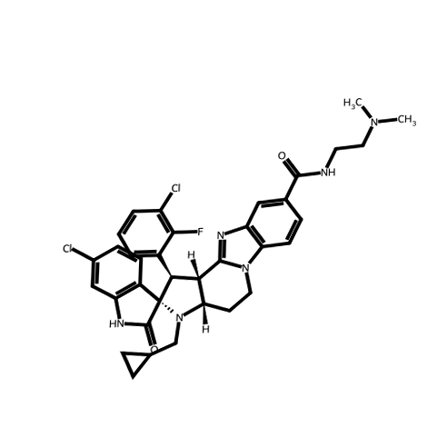 CN(C)CCNC(=O)c1ccc2c(c1)nc1n2CC[C@H]2[C@@H]1[C@H](c1cccc(Cl)c1F)[C@]1(C(=O)Nc3cc(Cl)ccc31)N2CC1CC1